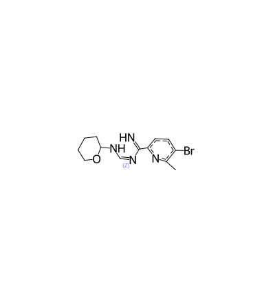 Cc1nc(C(=N)/N=C\NC2CCCCO2)ccc1Br